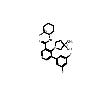 C[C@]1(N)CCN(c2c(C(=O)N[C@H]3CCCC[C@@H]3F)cncc2-c2cc(F)cc(F)c2)C1